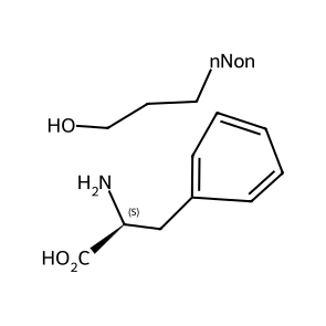 CCCCCCCCCCCCO.N[C@@H](Cc1ccccc1)C(=O)O